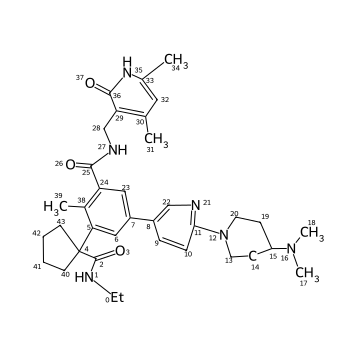 CCNC(=O)C1(c2cc(-c3ccc(N4CCC(N(C)C)CC4)nc3)cc(C(=O)NCc3c(C)cc(C)[nH]c3=O)c2C)CCCC1